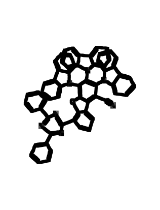 N#Cc1c(-n2c3ccccc3c3ccccc32)c(-n2c3ccccc3c3ccccc32)c(-n2c3ccccc3c3ccccc32)c2oc3c(-c4nc(-c5ccccc5)nc(-c5ccccc5)n4)cccc3c12